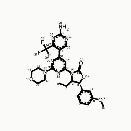 CCC1[C@H](c2cccc(OC)c2)OC(=O)N1c1cc(-c2cnc(N)nc2C(F)(F)F)nc(N2CCOCC2)n1